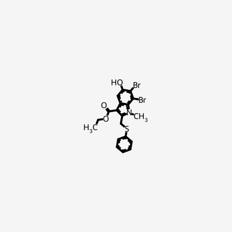 CCOC(=O)c1c(CSc2ccccc2)n(C)c2c(Br)c(Br)c(O)cc12